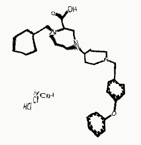 Cl.Cl.Cl.O=C(O)C1CN(C2CCN(Cc3ccc(Oc4ccccc4)cc3)CC2)CCN1CC1CCCCC1